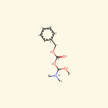 COC(OC(=O)OCc1ccccc1)N(C)C